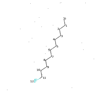 [CH2]CCCCCCCCCCCF